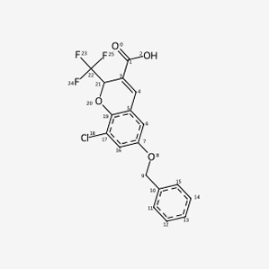 O=C(O)C1=Cc2cc(OCc3ccccc3)cc(Cl)c2OC1C(F)(F)F